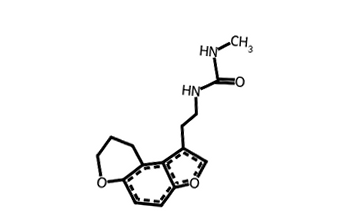 CNC(=O)NCCc1coc2ccc3c(c12)CCCO3